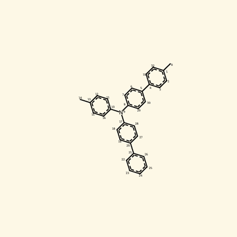 Cc1ccc(-c2ccc(N(c3ccc(C)cc3)c3ccc(-c4ccccc4)cc3)cc2)cc1